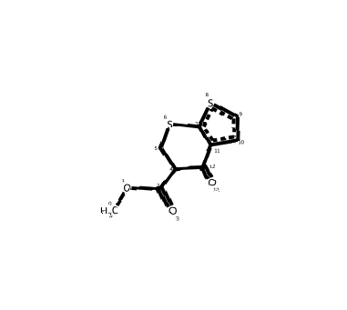 COC(=O)C1CSc2sccc2C1=O